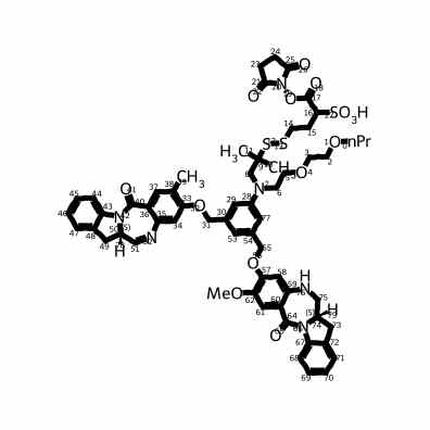 CCCOCCOCCN(CC(C)(C)SSCCC(C(=O)ON1C(=O)CCC1=O)S(=O)(=O)O)c1cc(COc2cc3c(cc2C)C(=O)N2c4ccccc4C[C@H]2C=N3)cc(COc2cc3c(cc2OC)C(=O)N2c4ccccc4C[C@H]2CN3)c1